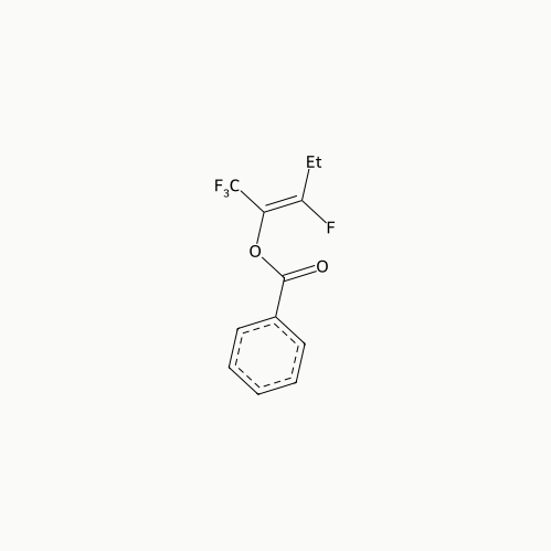 CCC(F)=C(OC(=O)c1ccccc1)C(F)(F)F